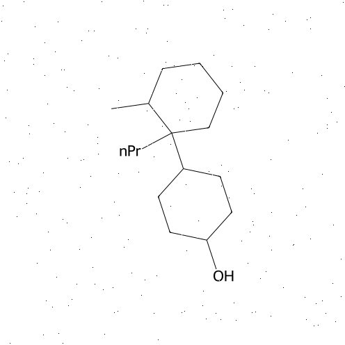 CCCC1(C2CCC(O)CC2)CCCCC1C